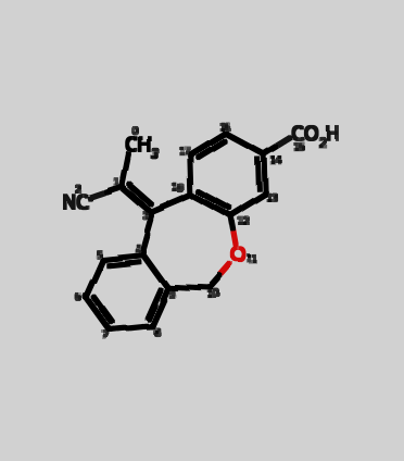 C/C(C#N)=C1/c2ccccc2COc2cc(C(=O)O)ccc21